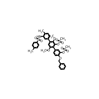 COc1cc(-c2ccc(C)c(NS(=O)(=O)c3ccc(C)cc3)c2)c(OC)c(OS(C)(=O)=O)c1-c1ccc(OCc2ccccc2)c(OS(C)(=O)=O)c1